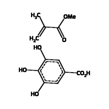 C=C(C)C(=O)OC.O=C(O)c1cc(O)c(O)c(O)c1